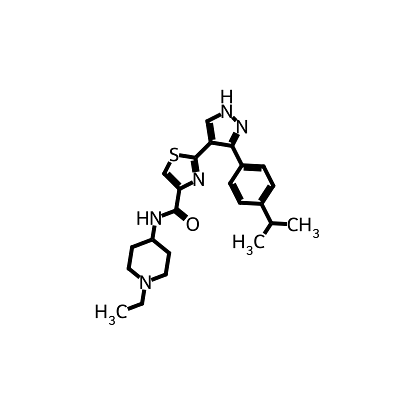 CCN1CCC(NC(=O)c2csc(-c3c[nH]nc3-c3ccc(C(C)C)cc3)n2)CC1